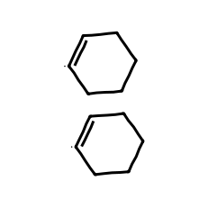 [C]1=CCCCC1.[C]1=CCCCC1